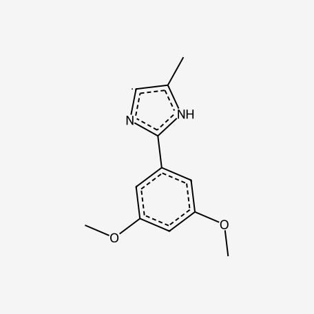 COc1cc(OC)cc(-c2n[c]c(C)[nH]2)c1